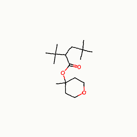 CC(C)(C)CC(C(=O)OC1(C)CCOCC1)C(C)(C)C